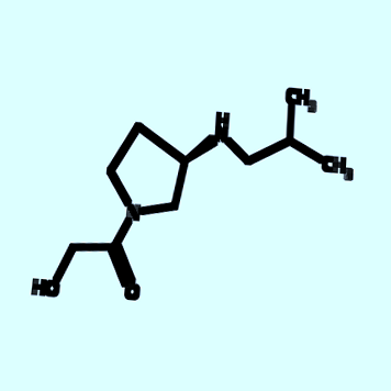 CC(C)CN[C@@H]1CCN(C(=O)CO)C1